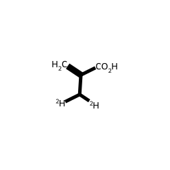 [2H]C([2H])C(=C)C(=O)O